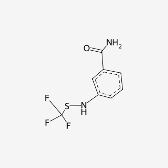 NC(=O)c1cccc(NSC(F)(F)F)c1